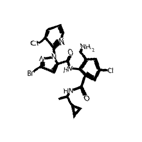 CC(NC(=O)c1cc(Cl)cc(CN)c1NC(=O)c1cc(Br)nn1-c1ncccc1Cl)C1CC1